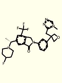 C[C@H](c1cc2c(c(C(F)(F)F)c1)CN(c1cccc(C3(Cc4nncn4C)COC3)c1)C2=O)N1CCC(F)CC1